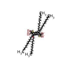 CCCCCCCCCCCCCCCCC1(CCCCCCCCCCCCCCCC)c2cc3c(cc2-c2sc(Br)c(Br)c21)C(CCCCCCCCCCCCCCCC)(CCCCCCCCCCCCCCCC)c1c-3sc(Br)c1Br